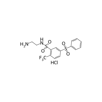 Cl.NCCNS(=O)(=O)c1cc(S(=O)(=O)c2ccccc2)ccc1C(F)(F)F